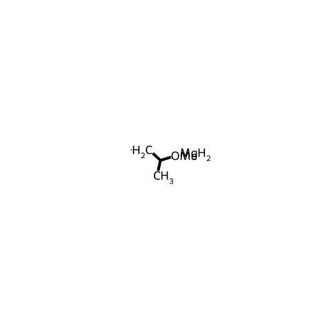 [CH2]C(C)OC.[MgH2]